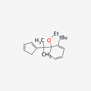 CCOC1(C(C)(C)C2=CC=CC2)CC=CC=C1C(C)(C)C